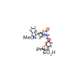 CO/N=C(\c1ccccc1)c1ccc2c(c1)sc(=O)n2CCOc1ccc(CC(OC(C)C)C(=O)O)cc1